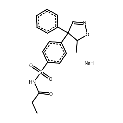 CCC(=O)NS(=O)(=O)c1ccc(C2(c3ccccc3)C=NOC2C)cc1.[NaH]